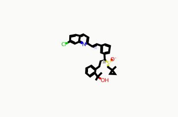 CC1(C[S+]([O-])[C@@H](CCc2ccccc2C(C)(C)O)c2cccc(/C=C/c3ccc4ccc(Cl)cc4n3)c2)CC1